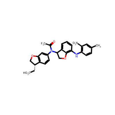 Cc1ccc(Nc2cccc3c2OCC3N(C(=O)C(F)(F)F)c2ccc3c(c2)OC[C@H]3CC(=O)O)c([N+](=O)[O-])c1